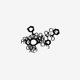 CC(=O)C[C@H]1C(=O)[C@@]2(C)[C@H]([C@H](OC(=O)c3ccccc3)[C@]3(O)C[C@H](OC(=O)[C@@H]4O[C@H](C)N(C(=O)c5ccccc5)[C@H]4c4ccccc4)C(C)=C1C3(C)C)[C@]1(OC(C)=O)CO[C@@H]1C[C@@H]2O